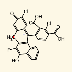 CC1=CC(=O)C(Cl)=C/C1=C(\c1ccc(C(=O)O)c(Cl)c1C(=O)O)c1c(C)c(F)c(O)c2ccccc12